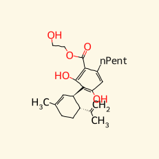 C=C(C)[C@@H]1CCC(C)=C[C@H]1c1c(O)cc(CCCCC)c(C(=O)OCCO)c1O